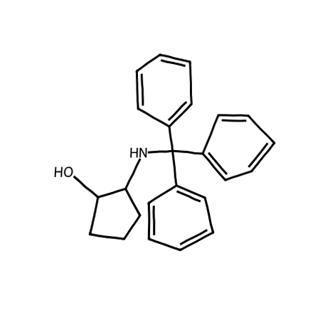 OC1CCCC1NC(c1ccccc1)(c1ccccc1)c1ccccc1